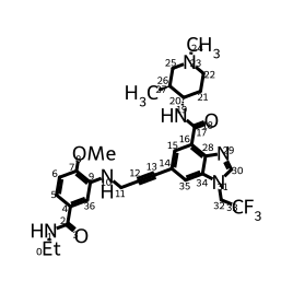 CCNC(=O)c1ccc(OC)c(NCC#Cc2cc(C(=O)N[C@H]3CCN(C)C[C@@H]3C)c3ncn(CC(F)(F)F)c3c2)c1